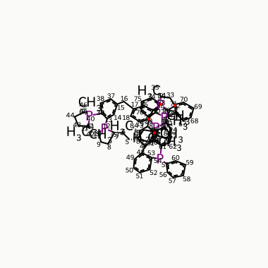 C[C@@H]1CC[C@@H](CC[C@H]2CC[C@H](C)P2c2cc(Cc3ccc(P4[C@H](C)CC[C@H]4C)c(P4[C@H](C)CC[C@H]4C)c3)ccc2P2[C@@H](C)CC[C@@H]2C)C1c1ccccc1P(c1ccccc1)c1ccc(P(c2ccccc2)c2ccccc2C2[C@@H](C)CC[C@@H]2C)cc1